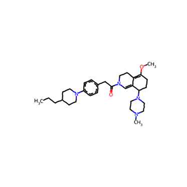 CCCC1CCN(c2ccc(CC(=O)N3C=C4C(=C(OC)CCC4N4CCN(C)CC4)CC3)cc2)CC1